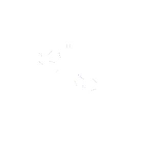 Cc1cc(C(=O)CCc2cn3cc(C)ccc3n2)c2cc[nH]c2c1